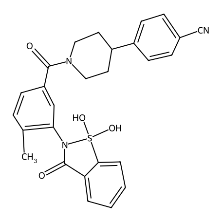 Cc1ccc(C(=O)N2CCC(c3ccc(C#N)cc3)CC2)cc1N1C(=O)c2ccccc2S1(O)O